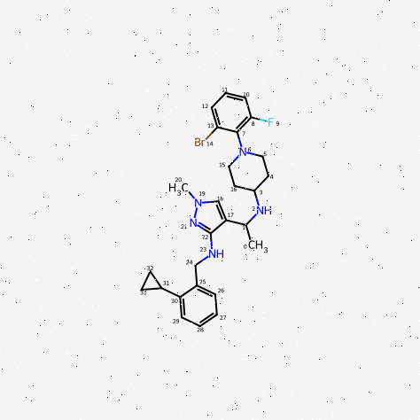 CC(NC1CCN(c2c(F)cccc2Br)CC1)c1cn(C)nc1NCc1ccccc1C1CC1